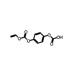 C=COC(=O)Oc1ccc(OC(=O)O)cc1